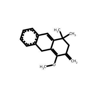 C=C1CC(C)(C)C2=Cc3ccccc3CC2=C1OC